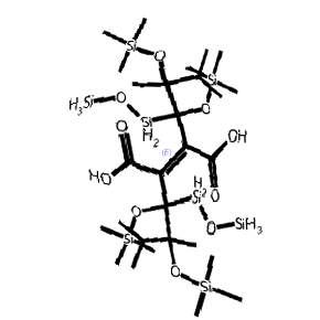 CC(C)C(C)(O[Si](C)(C)C)C(O[Si](C)(C)C)([SiH2]O[SiH3])/C(C(=O)O)=C(\C(=O)O)C(O[Si](C)(C)C)([SiH2]O[SiH3])C(C)(O[Si](C)(C)C)C(C)C